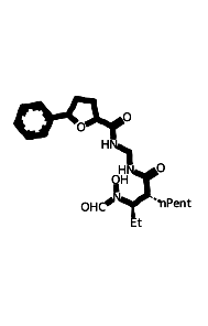 CCCCC[C@@H](C(=O)NCNC(=O)C1CCC(c2ccccc2)O1)[C@@H](CC)N(O)C=O